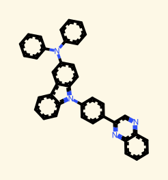 c1ccc(N(c2ccccc2)c2ccc3c(c2)c2ccccc2n3-c2ccc(-c3cnc4ccccc4n3)cc2)cc1